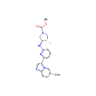 COc1ccc2ncc(-c3cccc(N[C@H]4CN(C(=O)OC(C)(C)C)C[C@@H]4F)n3)n2c1